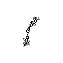 CC(C)(C(=O)Nc1ccc(C#N)c(C(F)(F)F)c1)n1cc(N2CC3CCC(CCc4ccc5c(c4)C(=O)N(C4CCC(=O)NC4=O)C5=O)CC3C2)cn1